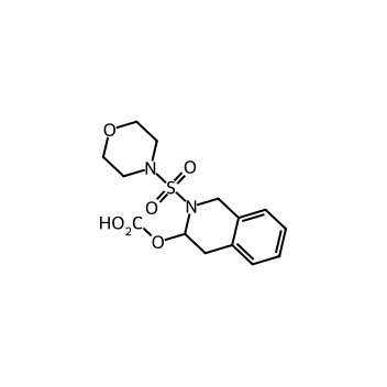 O=C(O)OC1Cc2ccccc2CN1S(=O)(=O)N1CCOCC1